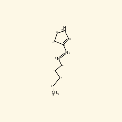 CCCCCN=NC1=CNCC1